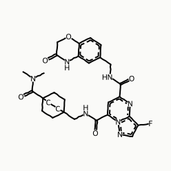 CN(C)C(=O)C12CCC(CNC(=O)c3cc(C(=O)NCc4ccc5c(c4)NC(=O)CO5)nc4c(F)cnn34)(CC1)CC2